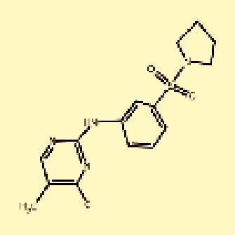 Cc1cnc(Nc2cccc(S(=O)(=O)N3CCCC3)c2)nc1Cl